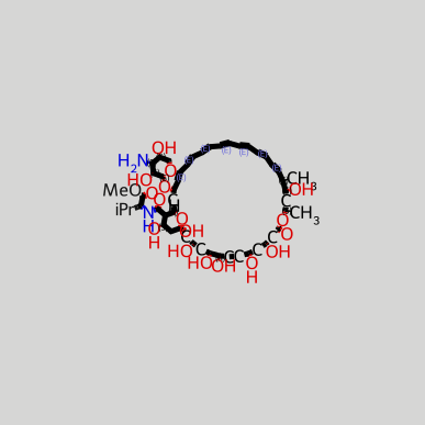 COC(=O)C(NC(=O)C1[C@@H]2CC(O[C@@H]3OC[C@@H](O)[C@H](N)[C@@H]3O)/C=C/C=C/C=C/C=C/C=C/C=C/C=C/[C@H](C)[C@@H](O)C[C@H](C)OC(=O)CC(O)CC(O)CC[C@@H](O)C(O)CC(O)CC(O)(C[C@@H]1O)O2)C(C)C